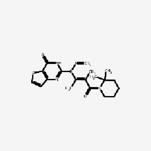 C=NN(/C(C)=C(\C)C(=O)N1CCCCC1(C)C)c1nc2ccsc2c(=O)[nH]1